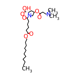 CCCCCCCCCCCOC(=O)CCCCC(=O)N1CC(OC(=O)CCN(C)C)C[C@H]1C(=O)O